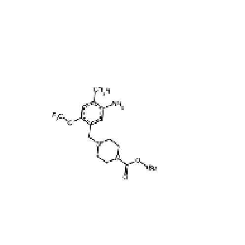 CC(C)(C)OC(=O)N1CCN(Cc2cc(N)c(C(=O)O)cc2OC(F)(F)F)CC1